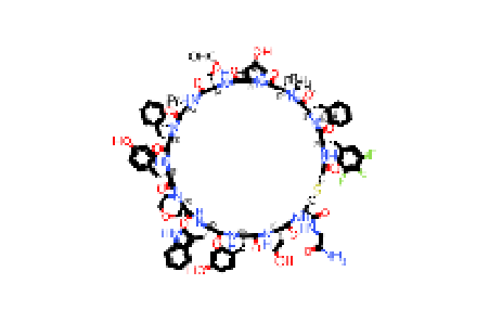 CCCC[C@H]1C(=O)N2C[C@H](O)C[C@@H]2C(=O)N[C@@H](COC=O)C(=O)N[C@@H](C(C)C)C(=O)N(C)[C@@H](Cc2ccccc2)C(=O)N[C@@H](Cc2ccc(O)cc2)C(=O)N2CCOC[C@@H]2C(=O)N[C@@H](Cc2c[nH]c3ccccc23)C(=O)N[C@@H](Cc2ccc(O)cc2)C(=O)N[C@@H](CCO)C(=O)N[C@H](C(=O)NCC(N)=O)CSCC(=O)N[C@@H](Cc2cc(F)c(F)c(F)c2)C(=O)N(C)[C@@H](Cc2ccccc2)C(=O)N1C